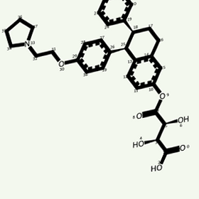 O=C(O)[C@@H](O)[C@H](O)C(=O)Oc1ccc2c(c1)CC[C@H](c1ccccc1)[C@@H]2c1ccc(OCCN2CCCC2)cc1